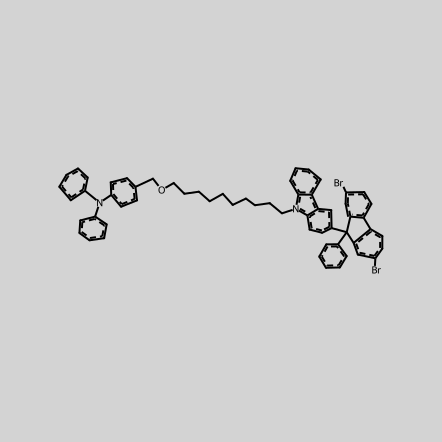 Brc1ccc2c(c1)C(c1ccccc1)(c1ccc3c(c1)c1ccccc1n3CCCCCCCCCCOCc1ccc(N(c3ccccc3)c3ccccc3)cc1)c1cc(Br)ccc1-2